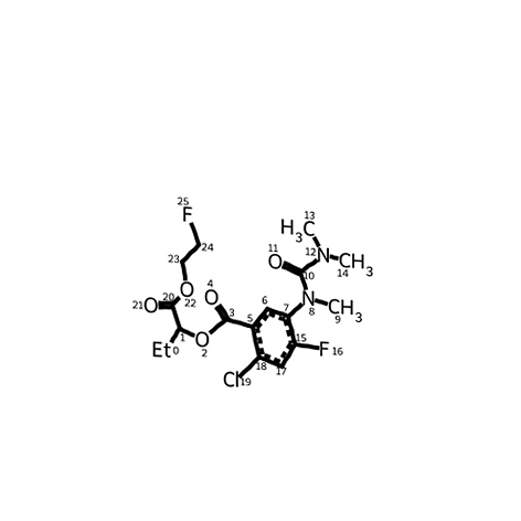 CCC(OC(=O)c1cc(N(C)C(=O)N(C)C)c(F)cc1Cl)C(=O)OCCF